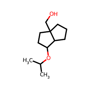 CC(C)OC1CCC2(CO)CCCC12